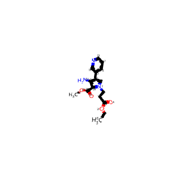 CCOC(=O)CCn1cc(-c2cccnc2)c(N)c1C(=O)OC